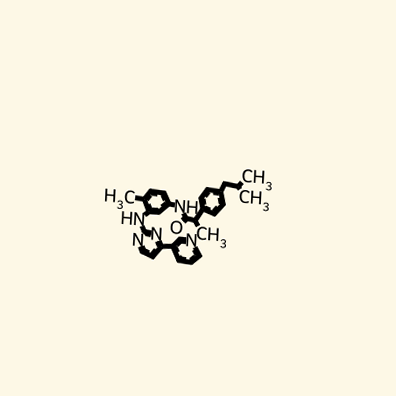 Cc1ccc(NC(=O)C(C)c2ccc(CC(C)C)cc2)cc1Nc1nccc(-c2cccnc2)n1